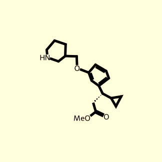 COC(=O)C[C@H](c1cccc(OCC2CCCNC2)c1)C1CC1